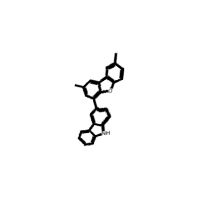 Cc1ccc2oc3c(-c4ccc5[nH]c6ccccc6c5c4)cc(C)cc3c2c1